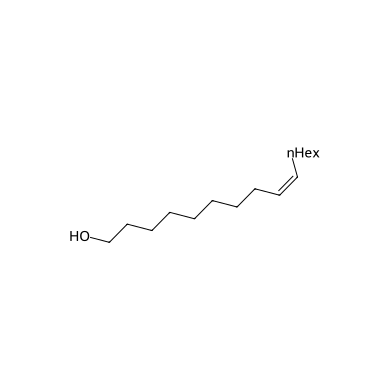 CCCCCC/C=C\CCCCCCCCO